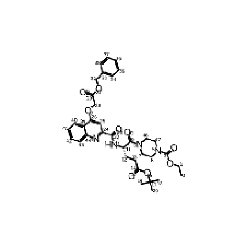 CCOC(=O)N1CCN(C(=O)[C@H](CCC(=O)OC(C)(C)C)NC(=O)c2cc(OCC(=O)OCc3ccccc3)c3ccccc3n2)CC1